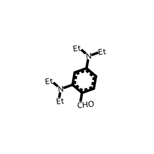 CCN(CC)c1ccc(C=O)c(N(CC)CC)c1